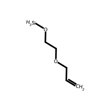 C=CCOCCO[SiH3]